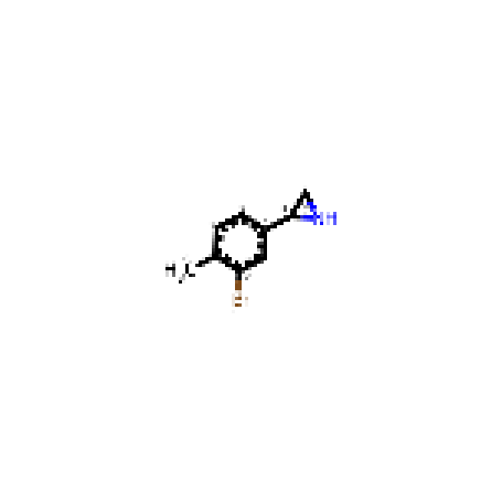 Cc1ccc(C2CN2)cc1Br